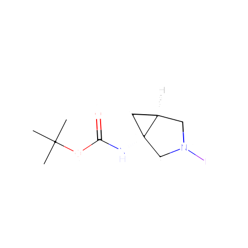 CC(C)(C)OC(=O)N[C@]12C[C@H]1CN(I)C2